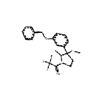 COC1(c2cccc(OCc3ccccc3)c2)CCN(C(=O)C(F)(F)F)C1C